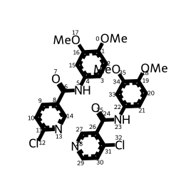 COc1ccc(NC(=O)c2ccc(Cl)nc2)cc1OC.COc1ccc(NC(=O)c2cnccc2Cl)cc1OC